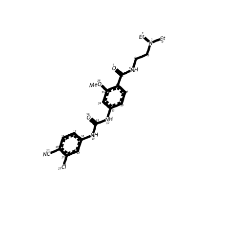 CCN(CC)CCNC(=O)c1ccc(NC(=O)Nc2ccc(C#N)c(Cl)c2)cc1OC